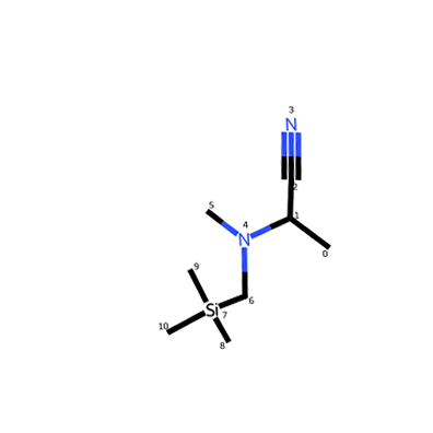 CC(C#N)N(C)C[Si](C)(C)C